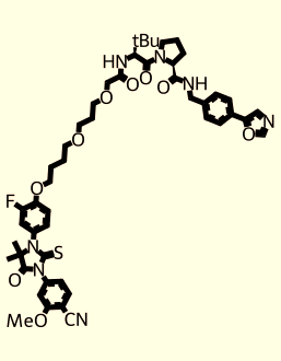 COc1cc(N2C(=O)C(C)(C)N(c3ccc(OCCCCOCCCOCC(=O)N[C@H](C(=O)N4CCC[C@H]4C(=O)NCc4ccc(-c5cnco5)cc4)C(C)(C)C)c(F)c3)C2=S)ccc1C#N